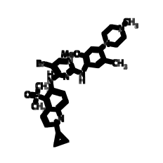 COc1cc(N2CCN(C)CC2)c(C)cc1Nc1ncc(Br)c(Nc2ccc3nc(C4CC4)ccc3c2P(C)(C)=O)n1